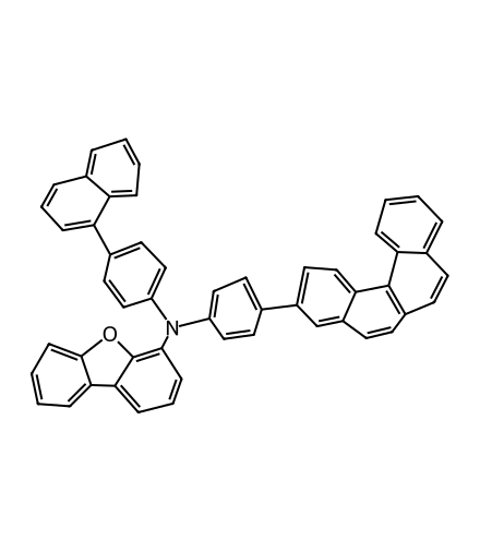 c1ccc2c(-c3ccc(N(c4ccc(-c5ccc6c(ccc7ccc8ccccc8c76)c5)cc4)c4cccc5c4oc4ccccc45)cc3)cccc2c1